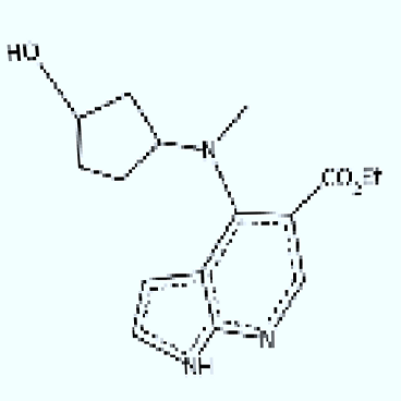 CCOC(=O)c1cnc2[nH]ccc2c1N(C)C1CCC(O)C1